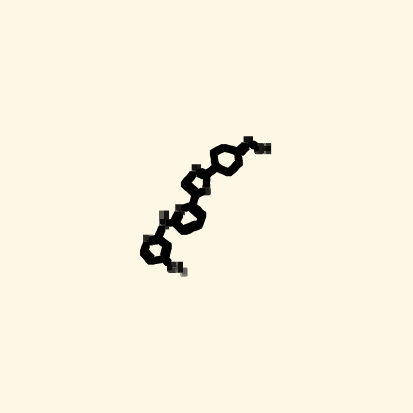 Cc1ccnc(Nc2cccc(-c3cnc(C4CCC(=NO)CC4)s3)n2)c1